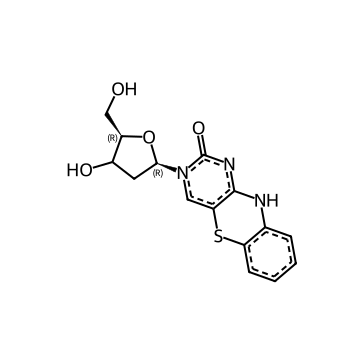 O=c1nc2c(cn1[C@H]1CC(O)[C@@H](CO)O1)Sc1ccccc1N2